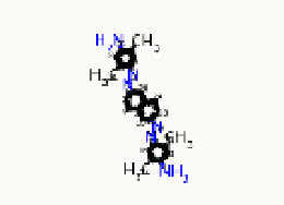 Cc1cc(N=Nc2ccc3cc(N=Nc4cc(C)c(N)cc4C)ccc3c2)c(C)cc1N